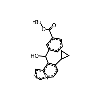 CC(C)(C)OC(=O)c1cccc(C(O)c2c(C3CC3)ccn3cncc23)c1